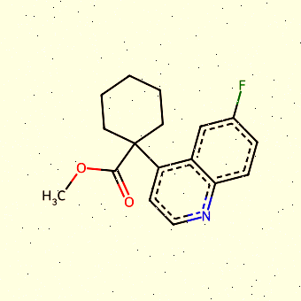 COC(=O)C1(c2ccnc3ccc(F)cc23)CCCCC1